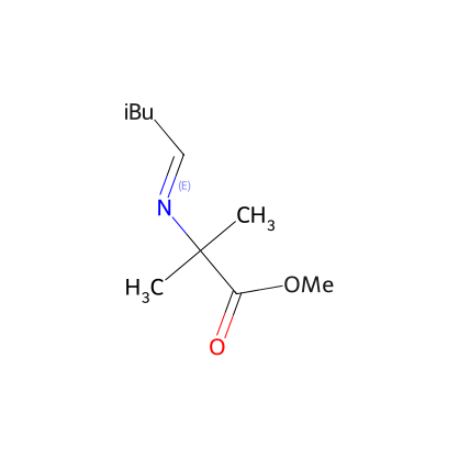 CCC(C)/C=N/C(C)(C)C(=O)OC